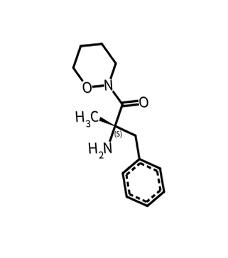 C[C@](N)(Cc1ccccc1)C(=O)N1CCCCO1